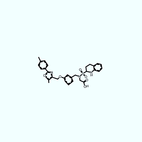 Cc1ccc(-c2nc(COc3cccc(CN(CC(=O)O)S(=O)(=O)C4CCc5ccccc5N4)c3)c(C)o2)cc1